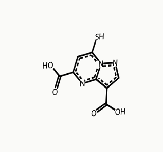 O=C(O)c1cc(S)n2ncc(C(=O)O)c2n1